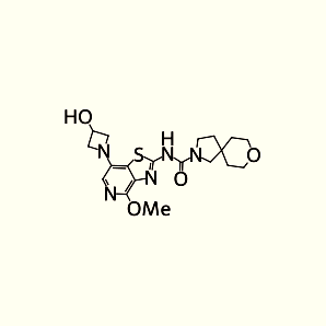 COc1ncc(N2CC(O)C2)c2sc(NC(=O)N3CCC4(CCOCC4)C3)nc12